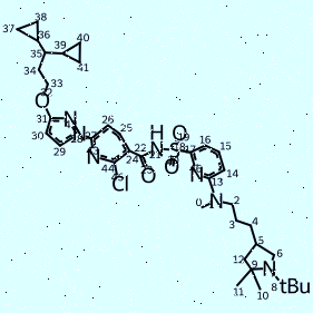 CN(CCCC1CN(C(C)(C)C)C(C)(C)C1)c1cccc(S(=O)(=O)NC(=O)c2ccc(-n3ccc(OCCC(C4CC4)C4CC4)n3)nc2Cl)n1